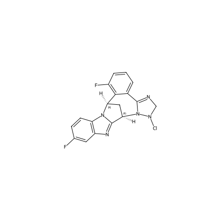 Fc1ccc2c(c1)nc1n2[C@@H]2C[C@H]1N1C(=NCN1Cl)c1cccc(F)c12